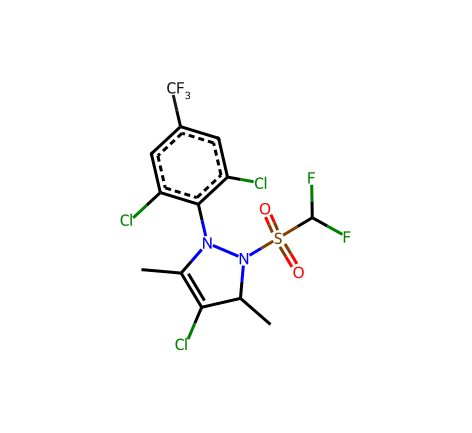 CC1=C(Cl)C(C)N(S(=O)(=O)C(F)F)N1c1c(Cl)cc(C(F)(F)F)cc1Cl